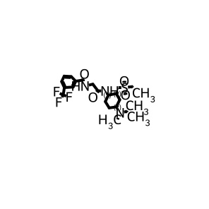 CCS(=O)(=O)C[C@@H]1C[C@H](N(C)C(C)C)CC[C@@H]1NC(=O)CNC(=O)c1cccc(C(F)(F)F)c1